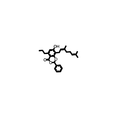 CCCc1cc(O)c(CC=C(C)CCC=C(C)C)c2c1C(=O)OC(c1ccccc1)O2